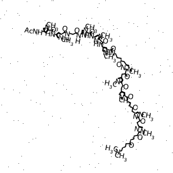 CC(=O)Nc1cc(C(=O)Nc2cc(C(=O)NCCC(=O)Nc3cn(C)c(C(=O)Nc4cn(C)c(C(=O)Nc5cc(C(=O)NCCCC(=O)Cc6cn(C)c(C(=O)Cc7cc(C(=O)Cc8cc(C(=O)CCCC(=O)Cc9cn(C)c(C(=O)Cc%10cn(C)c(C(=O)CCCC(=O)CCCCN(C)C)n%10)n9)n(C)c8)n(C)c7)n6)n(C)c5)n4)n3)n(C)c2)n(C)c1